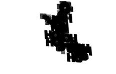 C/C=C(/COP(=O)(O)CP(=O)(O)O)[C@@H](O)[C@@H](O)[C@@H](O)n1cnc2c(NCc3ccccc3)nc(CCC)nc21